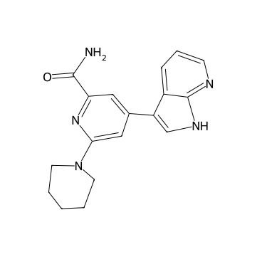 NC(=O)c1cc(-c2c[nH]c3ncccc23)cc(N2CCCCC2)n1